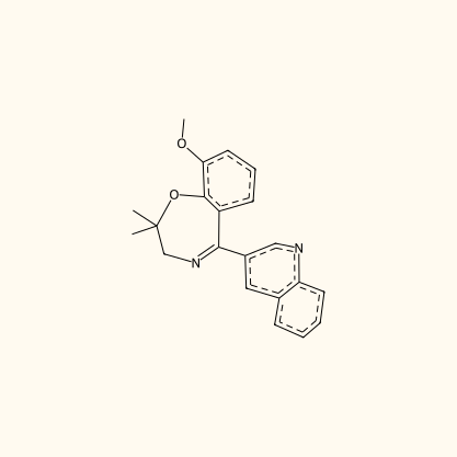 COc1cccc2c1OC(C)(C)CN=C2c1cnc2ccccc2c1